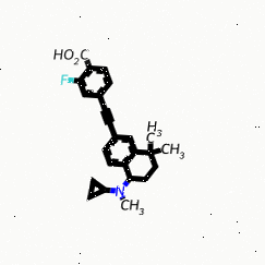 CN(C1CC1)C1CCC(C)(C)c2cc(C#Cc3ccc(C(=O)O)c(F)c3)ccc21